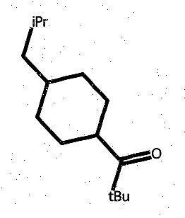 CC(C)CC1CCC(C(=O)C(C)(C)C)CC1